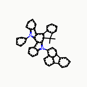 CC1(C)c2ccccc2-c2c1c1c(c3ccccc3n1-c1ccc3c4c(cccc14)-c1ccccc1-3)c1c2c2ccccc2n1-c1ccccc1